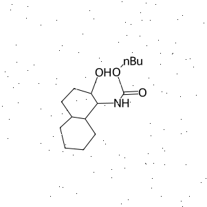 CCCCOC(=O)NC1C(O)CCC2CCCCC21